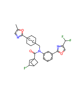 Cc1cnc(C23CCC(CN(C(=O)C45CC(F)C(C4)C5)c4cccc(-c5nc(C(F)F)co5)c4)(CC2)CC3)o1